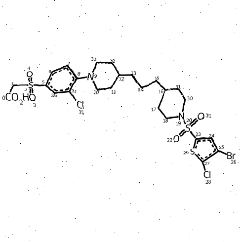 O=C(O)CS(=O)(=O)c1ccc(N2CCC(CCCC3CCN(S(=O)(=O)c4cc(Br)c(Cl)s4)CC3)CC2)c(Cl)c1